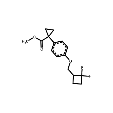 COC(=O)C1(c2ccc(OCC3CCC3(F)F)cc2)CC1